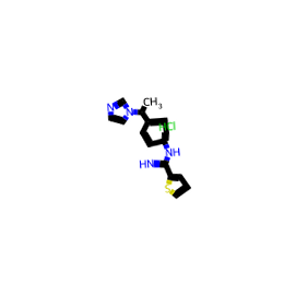 CC(c1ccc(NC(=N)c2cccs2)cc1)n1ccnc1.Cl